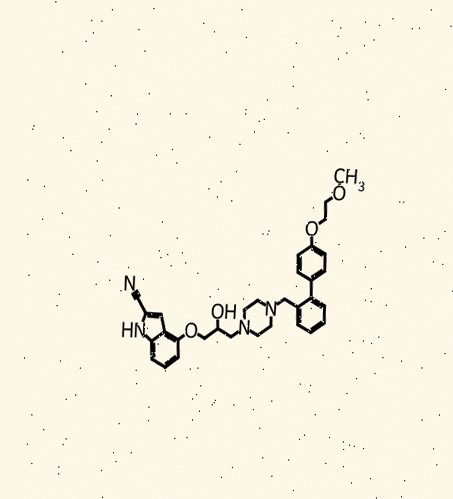 COCCOc1ccc(-c2ccccc2CN2CCN(CC(O)COc3cccc4[nH]c(C#N)cc34)CC2)cc1